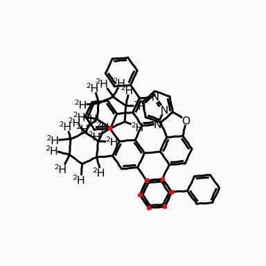 [2H]C1C([2H])([2H])C([2H])([2H])C([2H])([2H])C([2H])([2H])C1([2H])c1cc(-c2ccccc2)c(-c2c(-c3ccccc3-c3ccccc3)ccc3oc4ccccc4c23)c(-c2nnnc(-c3ccccc3)c2-c2ccccc2)c1C1([2H])C([2H])C([2H])([2H])C([2H])([2H])C([2H])([2H])C1([2H])[2H]